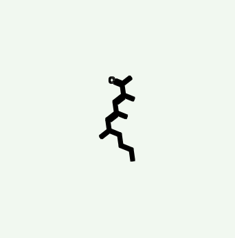 CCCCC(C)/C=C(C)/C=C(\C)C(C)=O